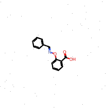 O=C(O)c1ccccc1ON=Cc1ccccc1